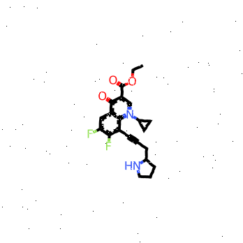 CCOC(=O)c1cn(C2CC2)c2c(C#CCC3CCCN3)c(F)c(F)cc2c1=O